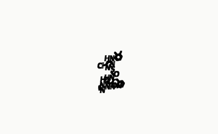 Cc1cccc(Nc2cc(Cl)nc(SCC(=O)N[C@@H](Cc3ccccc3)[C@@H](O)C(=O)Nc3ncc[nH]3)n2)c1C